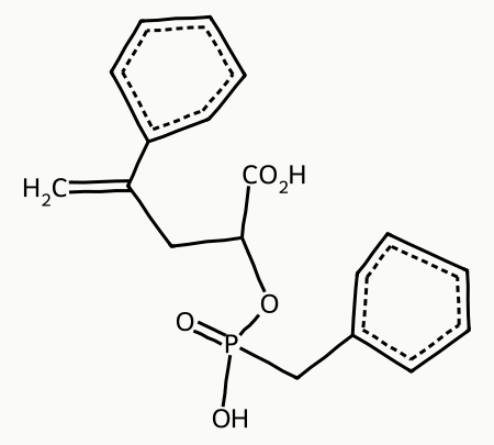 C=C(CC(OP(=O)(O)Cc1ccccc1)C(=O)O)c1ccccc1